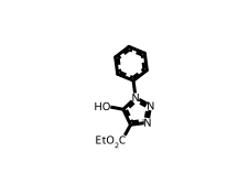 CCOC(=O)c1nnn(-c2ccccc2)c1O